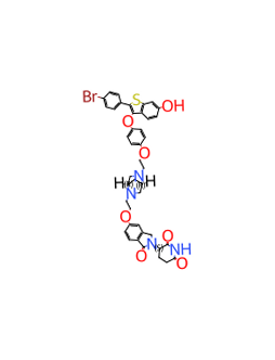 O=C1CC[C@H](N2Cc3cc(OCCN4C[C@H]5C[C@@H]4CN5CCOc4ccc(Oc5c(-c6ccc(Br)cc6)sc6cc(O)ccc56)cc4)ccc3C2=O)C(=O)N1